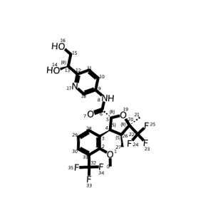 COc1c([C@H]2[C@H](C(=O)Nc3ccc([C@@H](O)CO)nc3)O[C@@](C)(C(F)(F)F)[C@H]2C)cccc1C(F)(F)F